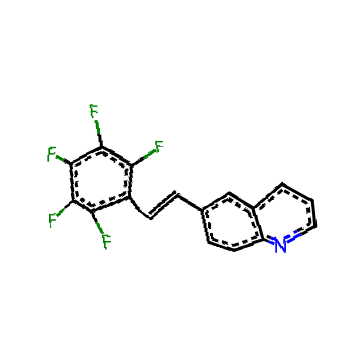 Fc1c(F)c(F)c(/C=C/c2ccc3ncccc3c2)c(F)c1F